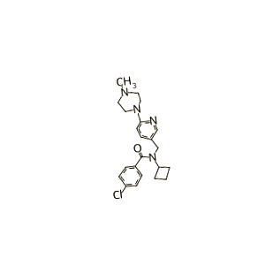 CN1CCN(c2ccc(CN(C(=O)c3ccc(Cl)cc3)C3CCC3)cn2)CC1